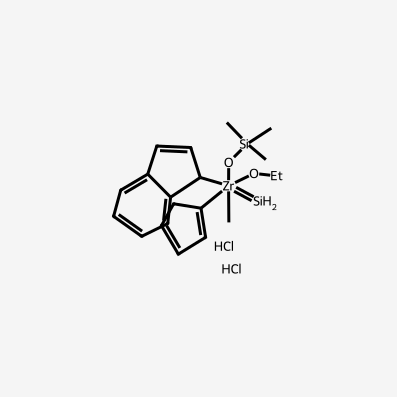 CC[O][Zr]([CH3])(=[SiH2])([O][Si](C)(C)C)([C]1=CC=CC1)[CH]1C=Cc2ccccc21.Cl.Cl